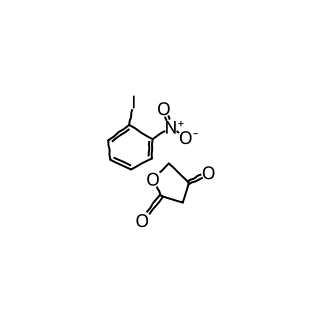 O=C1COC(=O)C1.O=[N+]([O-])c1ccccc1I